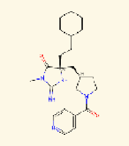 CN1C(=N)N[C@@](CCC2CCCCC2)(C[C@H]2CCN(C(=O)c3ccncc3)C2)C1=O